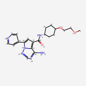 COCCO[C@H]1CC[C@H](NC(=O)c2cc(-c3ccncc3)n3ncnc(N)c23)CC1